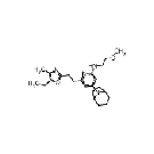 CCc1oc(CCc2cc(N3C4CCCC3CC4)cc(NCCOC)n2)nc1C